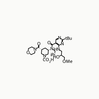 COCC(O)CNc1nc(C(C)(C)C)ncc1C(=O)N(CC(C)C)[C@H]1C[C@@H](C(=O)N2CCOCC2)CN(C(=O)O)C1